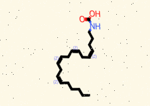 CCCCC/C=C\C/C=C\C/C=C\C/C=C\CCCNC(=O)O